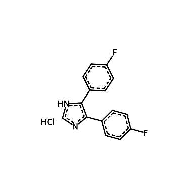 Cl.Fc1ccc(-c2nc[nH]c2-c2ccc(F)cc2)cc1